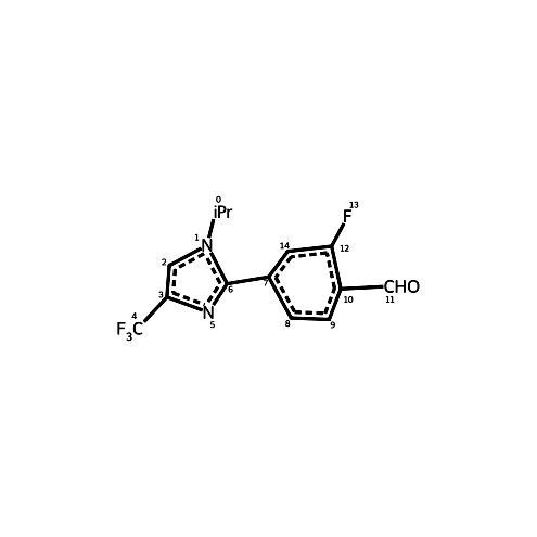 CC(C)n1cc(C(F)(F)F)nc1-c1ccc(C=O)c(F)c1